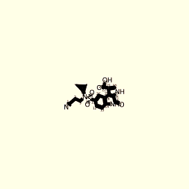 N#CCCN(C1CC1)S(=O)(=O)c1ccc2[nH]c(=O)c3[nH]cc(C(=O)O)c3c2c1